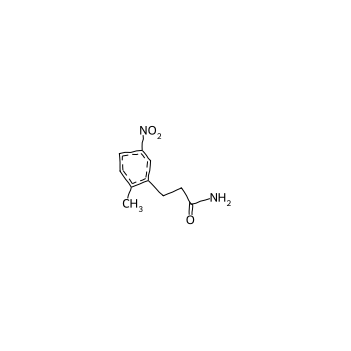 Cc1ccc([N+](=O)[O-])cc1CCC(N)=O